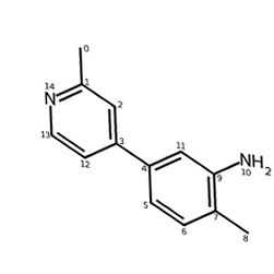 Cc1cc(-c2ccc(C)c(N)c2)ccn1